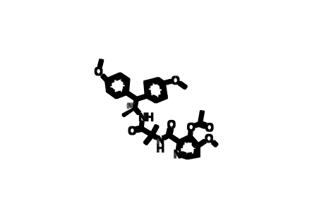 COc1ccc(C(c2ccc(OC)cc2)[C@H](C)NC(=O)C(C)(C)NC(=O)c2nccc(OC)c2OC(C)=O)cc1